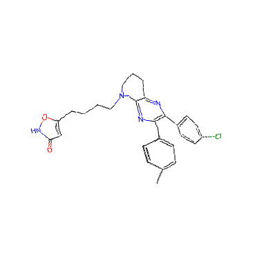 Cc1ccc(-c2nc3c(nc2-c2ccc(Cl)cc2)CCCN3CCCCc2cc(=O)[nH]o2)cc1